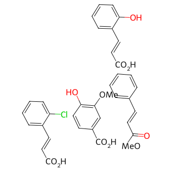 COC(=O)/C=C/c1ccccc1.COc1cc(C(=O)O)ccc1O.O=C(O)/C=C/c1ccccc1Cl.O=C(O)/C=C/c1ccccc1O